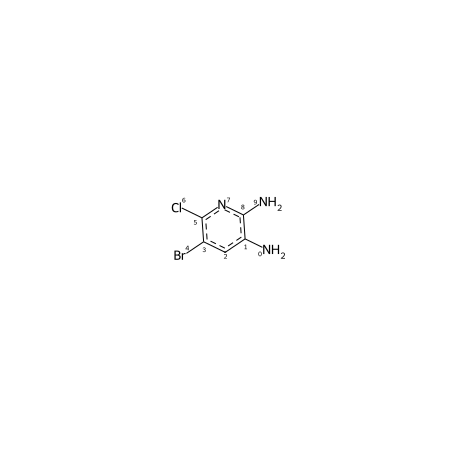 Nc1cc(Br)c(Cl)nc1N